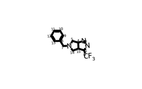 FC(F)(F)C1N=NC2CN(Cc3ccccc3)CC21